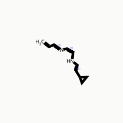 C=C/C=N/C=C\N/C=C/C1CC1